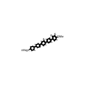 CCCCCCCC1CCC(C2CC=C(c3ccc(-c4ccc(-c5ccc(OC)c(F)c5F)cc4)c(F)c3)CC2)CC1